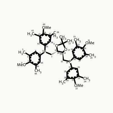 COc1c(C)cc(P(C[C@@H]2OC(C)(C)O[C@H]2CP(c2cc(C)c(OC)c(C)c2)c2cc(C)c(OC)c(C)c2)c2cc(C)c(OC)c(C)c2)cc1C